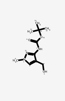 Cn1cc(CO)c(NC(=O)OC(C)(C)C)n1